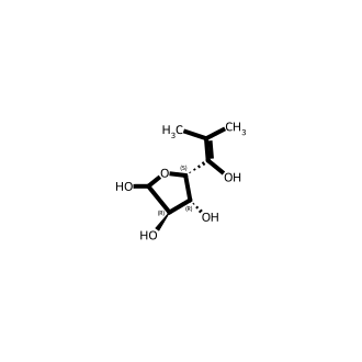 CC(C)=C(O)[C@H]1OC(O)[C@H](O)[C@H]1O